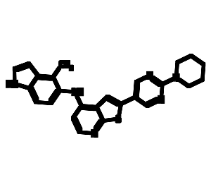 Cc1c(Nc2ccnc3sc(-c4cnc(N5CCCCC5)nc4)cc23)ccc2[nH]ccc12